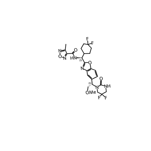 COC[C@H](c1ccc2oc([C@@H](NC(=O)c3nonc3C)C3CCC(F)(F)CC3)nc2c1)N1CC(F)(F)CNC1=O